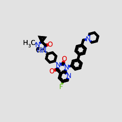 CN(C)C1(C(=O)N[C@H]2CC[C@@H](n3c(=O)c4cc(F)cnc4n(-c4cccc(-c5ccc(CN6CCCCC6)cc5)c4)c3=O)CC2)CC1